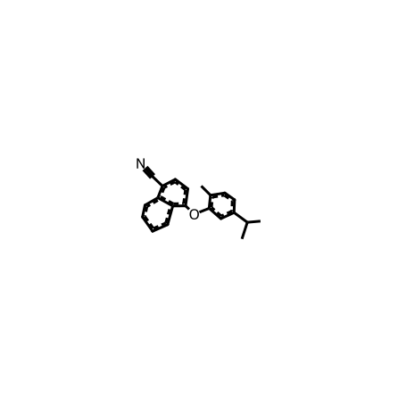 Cc1ccc(C(C)C)cc1Oc1ccc(C#N)c2ccccc12